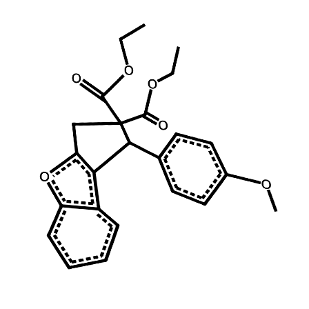 CCOC(=O)C1(C(=O)OCC)Cc2oc3ccccc3c2C1c1ccc(OC)cc1